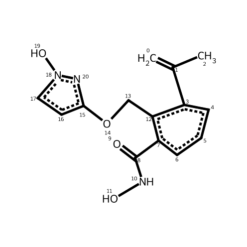 C=C(C)c1cccc(C(=O)NO)c1COc1ccn(O)n1